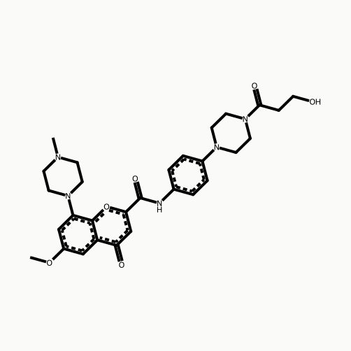 COc1cc(N2CCN(C)CC2)c2oc(C(=O)Nc3ccc(N4CCN(C(=O)CCO)CC4)cc3)cc(=O)c2c1